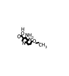 CCCOc1ccc2ncc(C(=O)O)c(N)c2n1